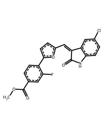 COC(=O)c1ccc(-c2ccc(/C=C3\C(=O)Nc4ccc(Cl)cc43)o2)c(F)c1